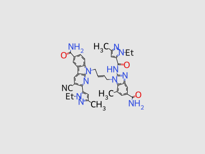 CCn1nc(C)cc1C(=O)Nc1nc2cc(C(N)=O)cc(C)c2n1C/C=C/Cn1c2ccc(C(N)=O)cc2c2cc(C#N)c(-c3cc(C)nn3CC)nc21